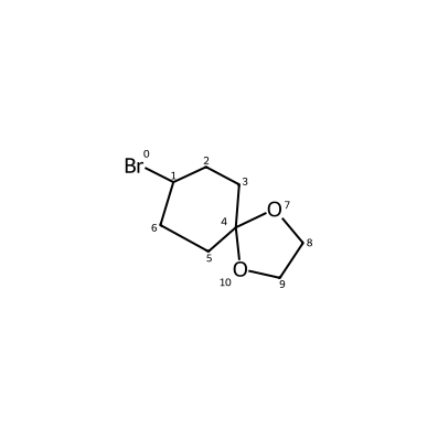 BrC1CCC2(CC1)OCCO2